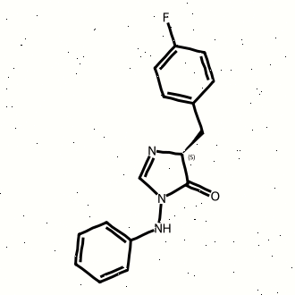 O=C1[C@H](Cc2ccc(F)cc2)N=CN1Nc1ccccc1